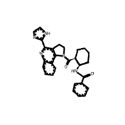 O=C(N[C@@H]1CCCC[C@@H]1C(=O)N1CCc2c(-c3ncc[nH]3)nc3ccccc3c21)c1ccccc1